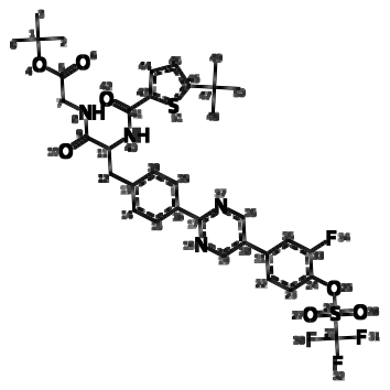 CC(C)(C)OC(=O)CNC(=O)C(Cc1ccc(-c2ncc(-c3ccc(OS(=O)(=O)C(F)(F)F)c(F)c3)cn2)cc1)NC(=O)c1ccc(C(C)(C)C)s1